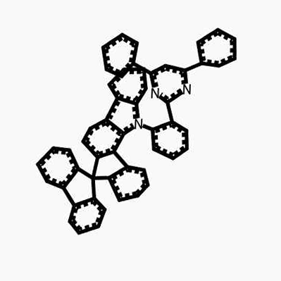 c1ccc(-c2cc(-c3ccccc3)nc(-c3ccccc3-n3c4ccccc4c4ccc5c(c43)-c3ccccc3C53c4ccccc4-c4ccccc43)n2)cc1